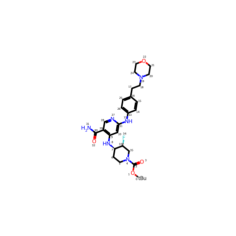 CC(C)(C)OC(=O)N1CC[C@@H](Nc2cc(Nc3ccc(CCN4CCOCC4)cc3)ncc2C(N)=O)[C@@H](F)C1